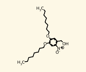 CCCCCCCCOc1cc(CO)c([N+](=O)[O-])cc1OCCCCCCCC